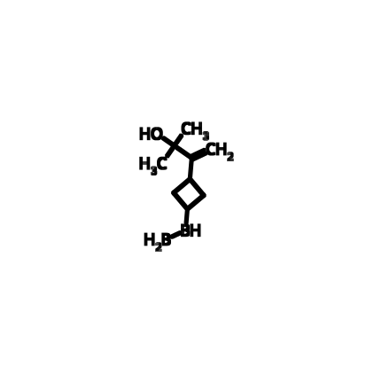 BBC1CC(C(=C)C(C)(C)O)C1